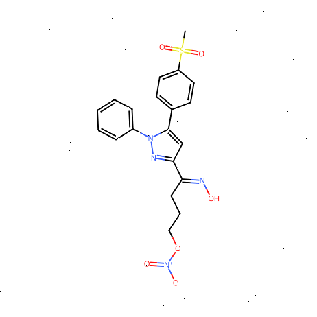 CS(=O)(=O)c1ccc(-c2cc(C(CCCO[N+](=O)[O-])=NO)nn2-c2ccccc2)cc1